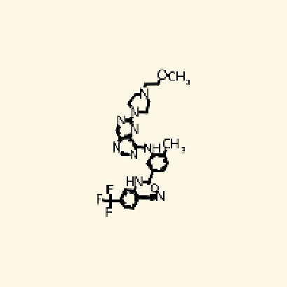 COCCN1CCN(c2ncc3ncnc(Nc4cc(C(=O)Nc5cc(C(F)(F)F)ccc5C#N)ccc4C)c3n2)CC1